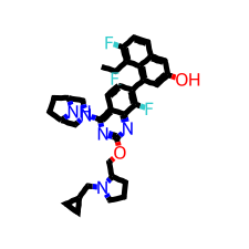 CCc1c(F)ccc2cc(O)cc(-c3c(F)cc4c(N5CC6CCC(C5)N6)nc(OCC5CCCN5CC5CC5)nc4c3F)c12